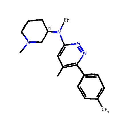 CCN(c1cc(C)c(-c2ccc(C(F)(F)F)cc2)nn1)[C@@H]1CCCN(C)C1